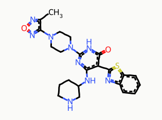 Cc1nonc1N1CCN(c2nc(NC3CCCNC3)c(-c3nc4ccccc4s3)c(=O)[nH]2)CC1